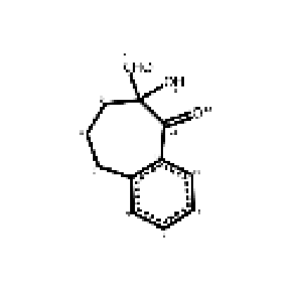 O=CC1(O)CCCc2ccccc2C1=O